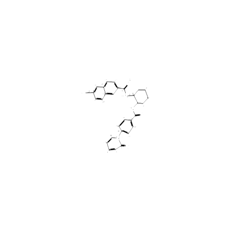 O=C(NC1CCCCC1NC(=O)c1ccc2cc(Cl)ccc2c1)c1ccc(-n2ccccc2=O)cc1